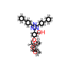 CC(COc1ccc(-c2nc(-c3ccc(-c4ccccc4)cc3)nc(-c3ccc(-c4ccccc4)cc3)n2)c(O)c1)[Si](C)(O[Si](C)(C)C)O[Si](C)(C)O[Si](C)(C)C